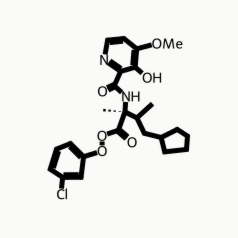 COc1ccnc(C(=O)N[C@](C)(C(=O)OOc2cccc(Cl)c2)C(C)CC2CCCC2)c1O